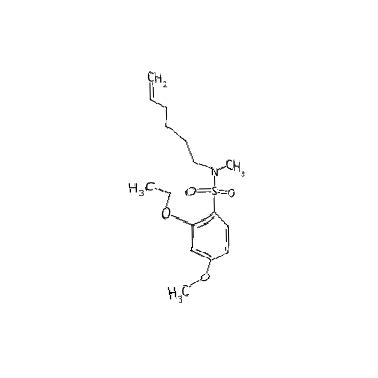 C=CCCCCN(C)S(=O)(=O)c1ccc(OC)cc1OCC